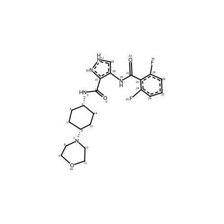 O=C(N[C@H]1CC[C@@H](N2CCOCC2)CC1)c1n[nH]cc1NC(=O)c1c(F)cccc1F